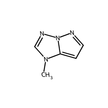 Cn1cnn2nccc12